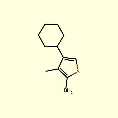 Bc1scc(C2CCCCC2)c1C